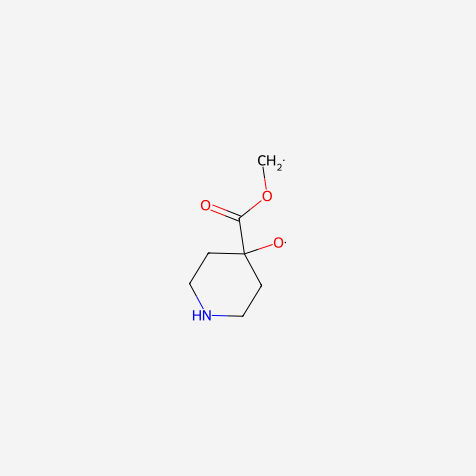 [CH2]OC(=O)C1([O])CCNCC1